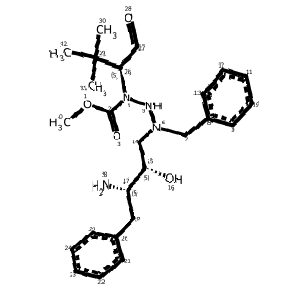 COC(=O)N(NN(Cc1ccccc1)C[C@H](O)[C@@H](N)Cc1ccccc1)[C@H](C=O)C(C)(C)C